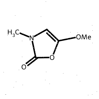 COc1cn(C)c(=O)o1